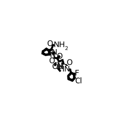 CCN1[C@H](C(=O)NCc2cccc(Cl)c2F)C[C@]1(C(=O)O)C(=O)Cn1nc(C(N)=O)c2ccccc21